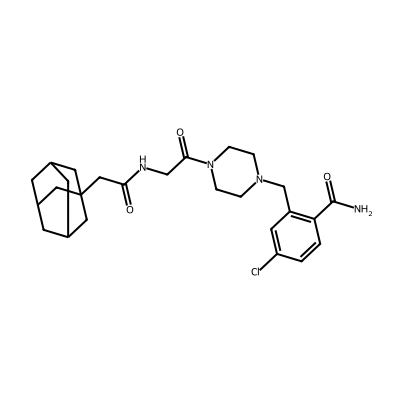 NC(=O)c1ccc(Cl)cc1CN1CCN(C(=O)CNC(=O)CC23CC4CC(CC(C4)C2)C3)CC1